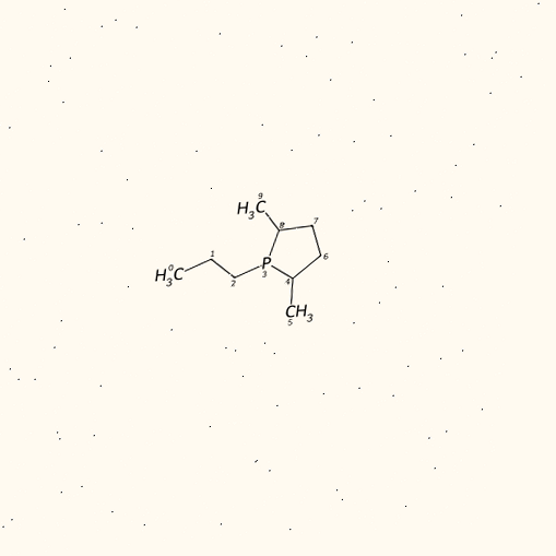 CCCP1C(C)CCC1C